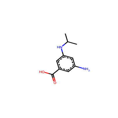 CC(C)Nc1cc(N)cc(C(=O)O)c1